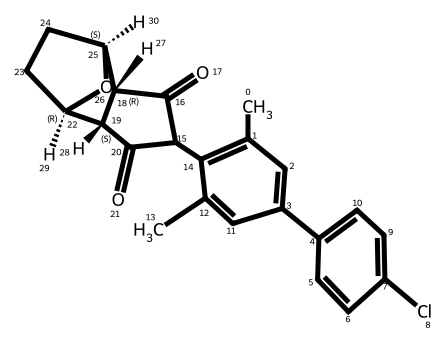 Cc1cc(-c2ccc(Cl)cc2)cc(C)c1C1C(=O)[C@@H]2[C@H](C1=O)[C@H]1CC[C@@H]2O1